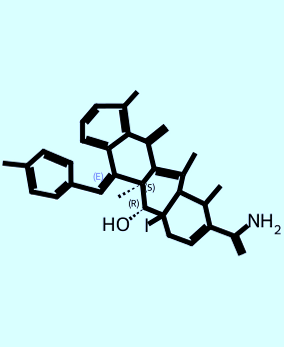 C=C(N)C1=CCC2(I)C(C(C)=C3C(=C)c4c(C)cccc4/C(=C\c4ccc(C)cc4)[C@]3(C)[C@H]2O)C1C